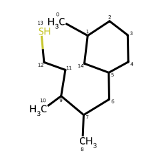 CC1CCCC(CC(C)C(C)CCS)C1